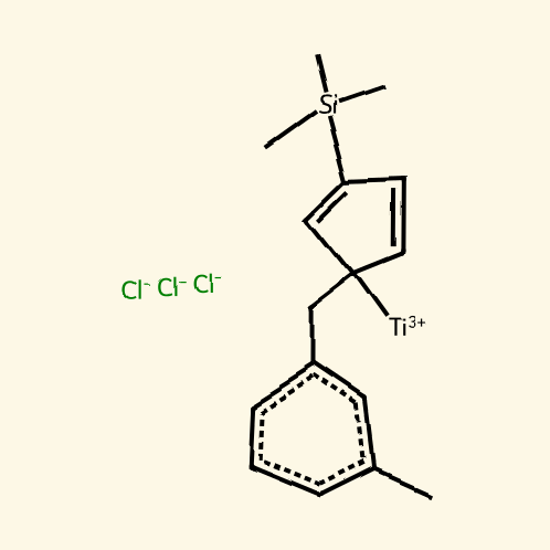 Cc1cccc(C[C]2([Ti+3])C=CC([Si](C)(C)C)=C2)c1.[Cl-].[Cl-].[Cl-]